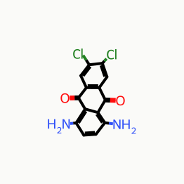 Nc1ccc(N)c2c1C(=O)c1cc(Cl)c(Cl)cc1C2=O